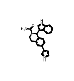 NC(=O)N1CCc2cc(-c3cc[nH]c3)ccc2C1c1c[nH]c2ccccc12